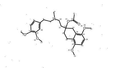 COc1ccc(CCN(C)CCC2(OC(C)=O)CCc3c(OC)ccc(OC)c3C2)cc1OC